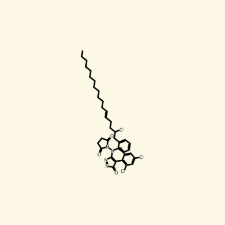 CCCCCCCCCCCCC=CCCC(Cl)Cc1ccccc1N(C1=C(c2c(Cl)cc(Cl)cc2Cl)C(=O)N=N1)N1C(=O)CCC1=O